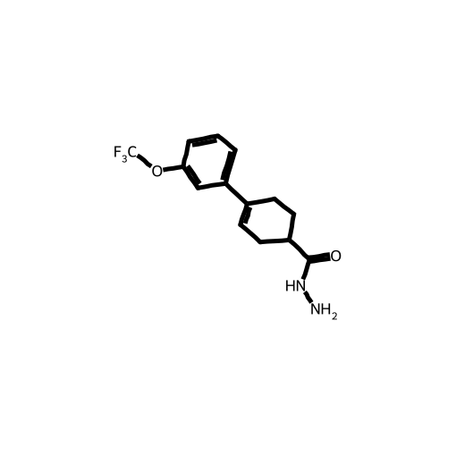 NNC(=O)C1CC=C(c2cccc(OC(F)(F)F)c2)CC1